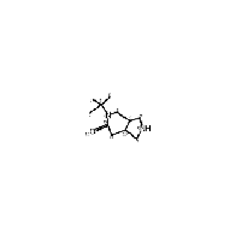 CC(C)(C)N1CC2CNCC2CC1=O